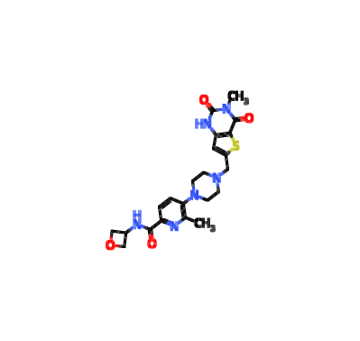 Cc1nc(C(=O)NC2COC2)ccc1N1CCN(Cc2cc3[nH]c(=O)n(C)c(=O)c3s2)CC1